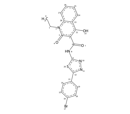 CCn1c(=O)c(C(=O)Nc2nnc(-c3ccc(Br)cc3)s2)c(O)c2ccccc21